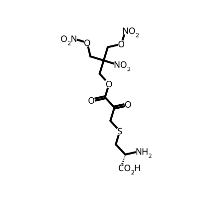 N[C@@H](CSCC(=O)C(=O)OCC(CO[N+](=O)[O-])(CO[N+](=O)[O-])[N+](=O)[O-])C(=O)O